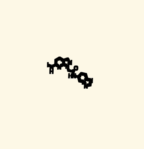 O=C(Cn1ncc2ccc(NI)nc21)Nc1ccc2ncnn2c1